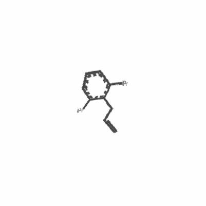 C=C[CH]c1c(C(C)C)cccc1C(C)C